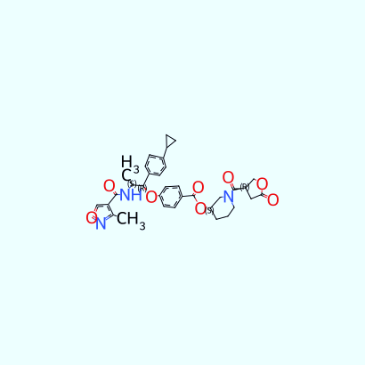 Cc1nocc1C(=O)N[C@@H](C)[C@H](Oc1ccc(C(=O)O[C@H]2CCCN(C(=O)[C@H]3COC(=O)C3)C2)cc1)c1ccc(C2CC2)cc1